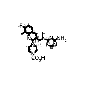 Cc1c(F)ccc2cc([C@H](C)Nc3ncnc(N)n3)c(N3CCN(C(=O)O)CC3)nc12